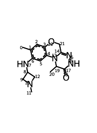 Cc1cc2c(cc1NC1CN(C)C1)N1C(=NNC(=O)C1C)CO2